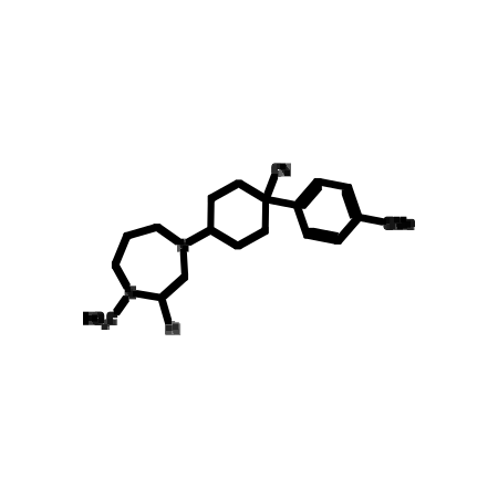 CCC1CN(C2CCC(C#N)(c3ccc(OC)cc3)CC2)CCCN1C(=O)O